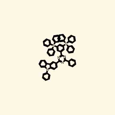 c1ccc(-c2nc(-c3cc(S(c4ccccc4)(c4ccccc4)c4ccccc4)cc(S(c4ccccc4)(c4ccccc4)c4ccccc4)c3)nc(-c3ccc4c(c3)c3ccccc3n4-c3ccccc3)n2)cc1